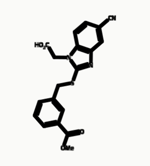 COC(=O)c1cccc(CSc2nc3cc(C#N)ccc3n2CC(=O)O)c1